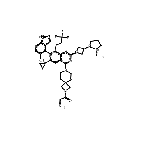 C=CC(=O)N1CC2(CCN(c3nc(N4CC(N5CCC[C@H]5C)C4)nc4c(OCC(F)(F)F)c(-c5c(C)ccc6[nH]ncc56)c(C5CC5)cc34)CC2)C1